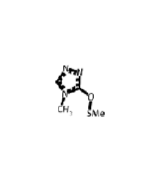 CSOc1nncn1C